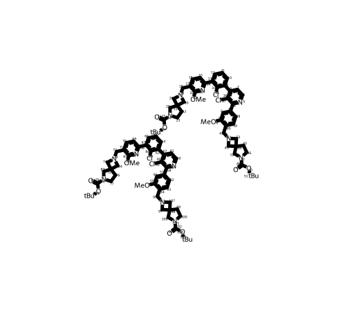 COc1cc(-c2nccc(-c3cccc(-c4ccc(CN5CC6(CCN(C(=O)OC(C)(C)C)C6)C5)c(OC)n4)c3Cl)c2Cl)ccc1CN1CC2(CCN(C(=O)OC(C)(C)C)C2)C1.COc1cc(-c2nccc(-c3cccc(-c4ccc(CN5CC6(CCN(C(=O)OC(C)(C)C)C6)C5)c(OC)n4)c3Cl)c2Cl)ccc1CN1CC2(CCN(C(=O)OC(C)(C)C)C2)C1